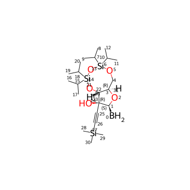 B[C@@H]1O[C@@H]2CO[Si](C(C)C)(C(C)C)O[Si](C(C)C)(C(C)C)O[C@H]2[C@@]1(O)C#C[Si](C)(C)C